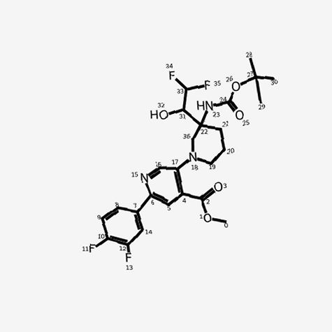 COC(=O)c1cc(-c2ccc(F)c(F)c2)ncc1N1CCCC(NC(=O)OC(C)(C)C)(C(O)C(F)F)C1